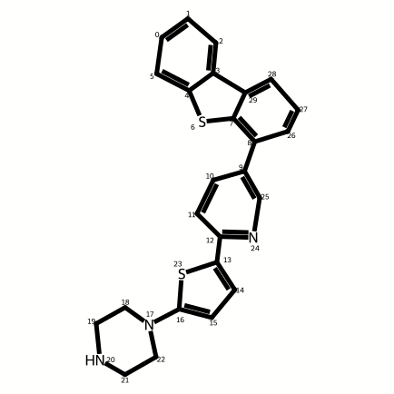 c1ccc2c(c1)sc1c(-c3ccc(-c4ccc(N5CCNCC5)s4)nc3)cccc12